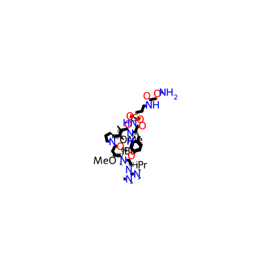 CC[C@H](C)[C@@H]([C@@H](CC(=O)N1CCC[C@H]1[C@H](OC)[C@@H](C)C(=O)N[C@@H](Cc1ccccc1)C(=O)NS(=O)(=O)CCCNC(=O)CON)OC)N(C)C(=O)[C@@H](N=C(N(C)C)N(C)C)C(C)C